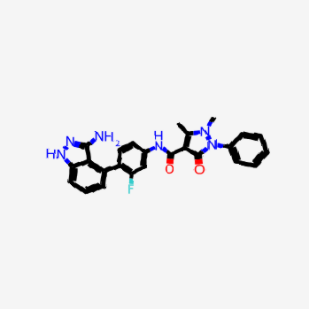 Cc1c(C(=O)Nc2ccc(-c3cccc4[nH]nc(N)c34)c(F)c2)c(=O)n(-c2ccccc2)n1C